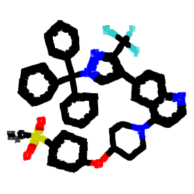 CS(=O)(=O)c1ccc(OC2CCN(c3ccnc4ccc(-c5cn(C(c6ccccc6)(c6ccccc6)c6ccccc6)nc5C(F)(F)F)cc34)CC2)cc1